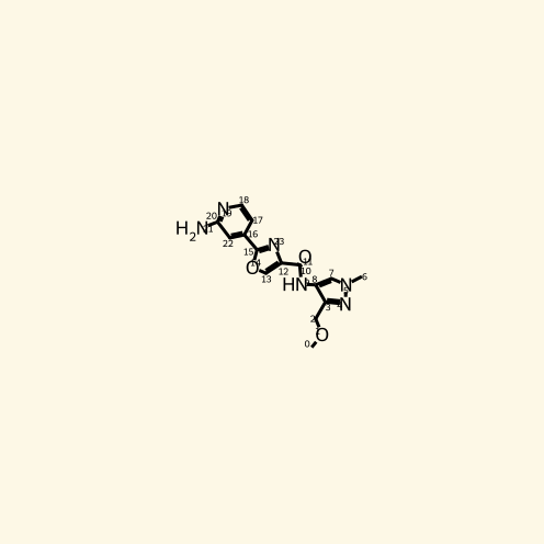 COCc1nn(C)cc1NC(=O)c1coc(-c2ccnc(N)c2)n1